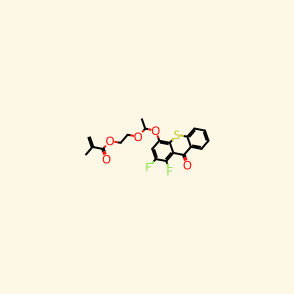 C=C(C)C(=O)OCCOC(C)Oc1cc(F)c(F)c2c(=O)c3ccccc3sc12